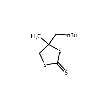 CCCCCC1(C)CSC(=S)S1